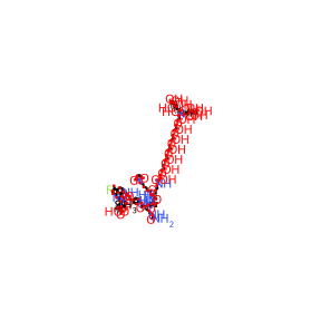 Cc1c(F)cc2nc3c(c4c2c1CC[C@@H]4NC(=O)OCc1ccc(NC(=O)[C@H](CCCNC(N)=O)NC(=O)[C@@H](NC(=O)[C@H](CCCCNC(=O)C(O)COCC(O)COCC(O)COCC(O)COCC(O)COCC(O)COCC(O)CN(C[C@H](O)[C@@H](O)[C@H](O)[C@H](O)CO)C[C@H](O)[C@@H](O)[C@H](O)[C@H](O)CO)NC(=O)CCCCCN2C(=O)C=CC2=O)C(C)C)cc1)Cn1c-3cc2c(c1=O)COC(=O)[C@]2(O)[C@@H](C)[SiH3]